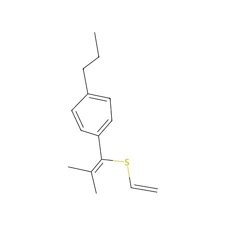 C=CSC(=C(C)C)c1ccc(CCC)cc1